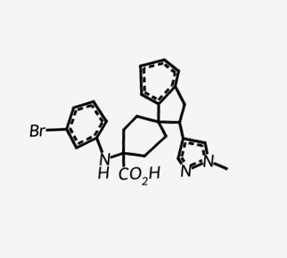 Cn1cc(C2Cc3ccccc3C23CCC(Nc2cccc(Br)c2)(C(=O)O)CC3)cn1